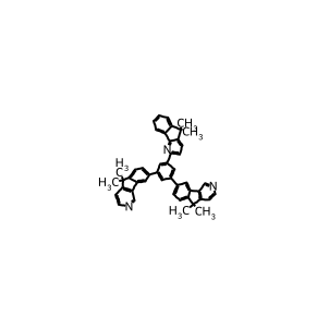 CC1(C)c2ccncc2-c2cc(-c3cc(-c4ccc5c(c4)-c4cnccc4C5(C)C)cc(-c4ccc5c(n4)-c4ccccc4C5(C)C)c3)ccc21